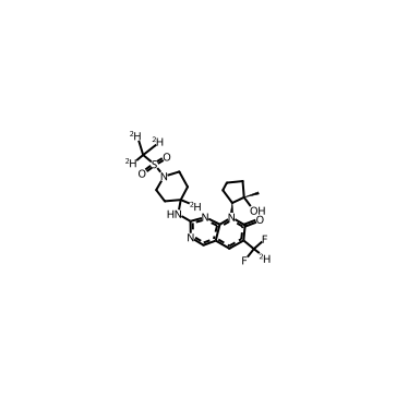 [2H]C1(Nc2ncc3cc(C([2H])(F)F)c(=O)n([C@H]4CCC[C@]4(C)O)c3n2)CCN(S(=O)(=O)C([2H])([2H])[2H])CC1